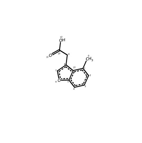 Cc1cccc2occ(CC(=O)O)c12